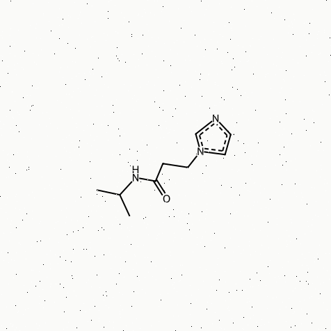 CC(C)NC(=O)CCn1c[c]nc1